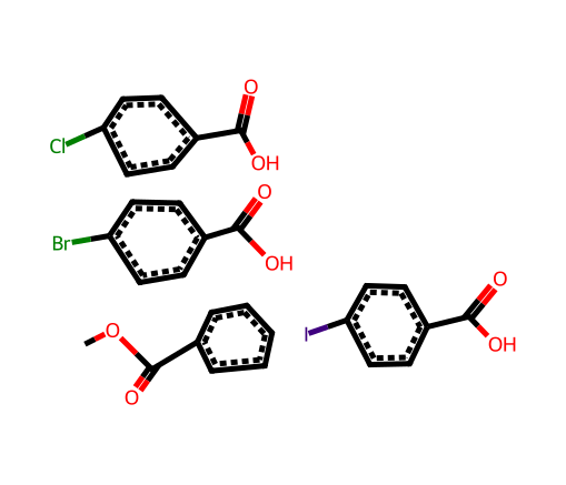 COC(=O)c1ccccc1.O=C(O)c1ccc(Br)cc1.O=C(O)c1ccc(Cl)cc1.O=C(O)c1ccc(I)cc1